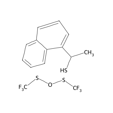 CC(S)c1cccc2ccccc12.FC(F)(F)SOSC(F)(F)F